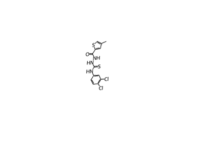 Cc1csc(C(=O)NNC(=S)Nc2ccc(Cl)c(Cl)c2)c1